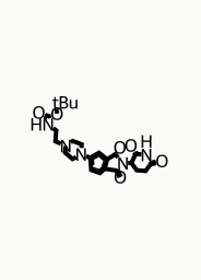 CC(C)(C)OC(=O)NCCN1CCN(c2ccc3c(c2)C(=O)N(C2CCC(=O)NC2=O)C3=O)CC1